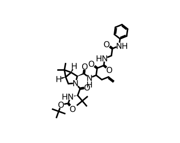 C=CCC(NC(=O)[C@@H]1[C@@H]2[C@H](CN1C(=O)[C@@H](NC(=O)OC(C)(C)C)C(C)(C)C)C2(C)C)C(=O)C(=O)NCC(=O)Nc1ccccc1